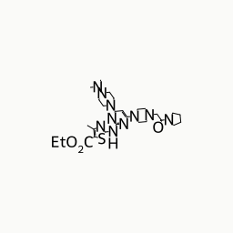 CCOC(=O)c1sc(Nc2nc(N3CCN(CC(=O)N4CCCC4)CC3)cc(N3CCN(N(C)C)CC3)n2)nc1C